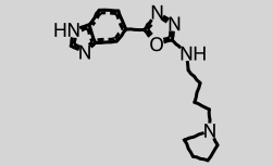 c1nc2cc(-c3nnc(NCCCCN4CCCC4)o3)ccc2[nH]1